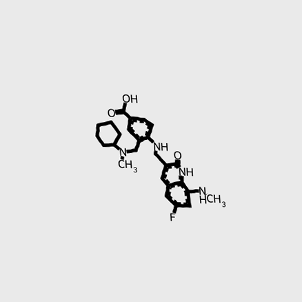 CNc1cc(F)cc2cc(CNc3ccc(C(=O)O)cc3CN(C)C3CCCCC3)c(=O)[nH]c12